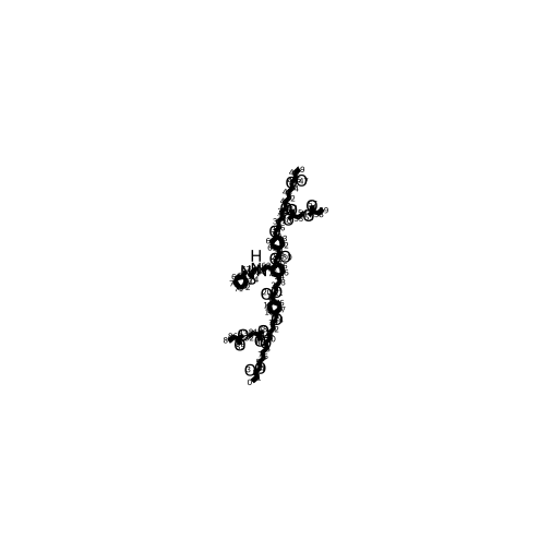 C=CC(=O)OCCCCOCC(CCOc1ccc(C(=O)OCCc2ccc(OC(=O)c3ccc(OCCC(COCCCCOC(=O)C=C)OC(=O)CCOC(=O)C=C)cc3)c(/C=N/Nc3nc4ccccc4s3)c2)cc1)OC(=O)CCOC(=O)C=C